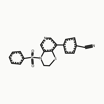 N#Cc1ccc(-c2cncc3c2SCCN3S(=O)(=O)c2ccccc2)cc1